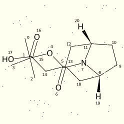 CC(C)(C)OC(=O)N1[C@@H]2CC[C@H]1CC(CC(=O)O)C2